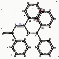 C=C(/C=C(\OB(c1ccccc1)c1ccccc1)c1ccccc1)c1ccccc1